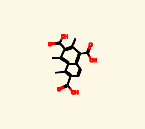 Cc1c(C(=O)O)c(C)c2c(C)c(C(=O)O)ccc2c1C(=O)O